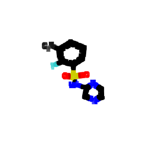 O=[N+]([O-])c1cccc(S(=O)(=O)Nc2cnccn2)c1F